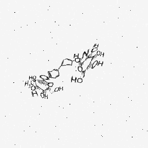 C[C@@]1(O)[C@@H](Oc2ccc(-c3ccc(O[C@H]4O[C@H](CO)[C@@H](O)[C@H](O)[C@]4(N)O)cc3)cc2)O[C@H](CO)[C@@H](O)[C@@H]1O